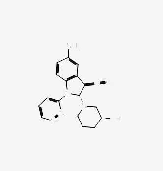 C[C@H]1CCCN([C@@H]2C(=C=O)c3cc(N)ccc3N2c2cccnn2)C1